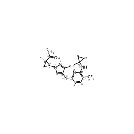 Cc1nn([C@H]2C[C@@]2(C)C(N)=O)cc1Nc1ncc(C(F)(F)F)c(NC2(C)CC2)n1